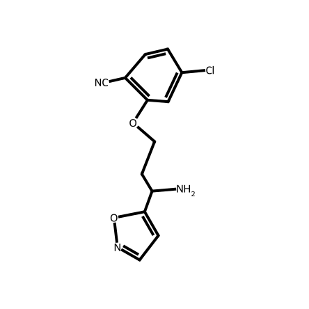 N#Cc1ccc(Cl)cc1OCCC(N)c1ccno1